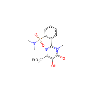 CCOC(=O)c1nc(-c2ccccc2S(=O)(=O)N(C)C)n(C)c(=O)c1O